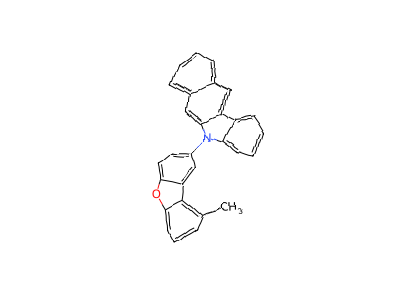 Cc1cccc2oc3ccc(-n4c5ccccc5c5cc6ccccc6cc54)cc3c12